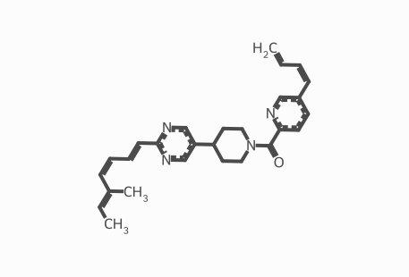 C=C/C=C\c1ccc(C(=O)N2CCC(c3cnc(/C=C/C=C\C(C)=C\C)nc3)CC2)nc1